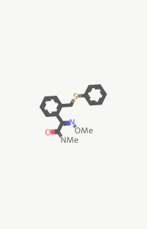 CNC(=O)C(=NOC)c1ccccc1CSc1ccccc1